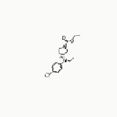 CCOC(=O)N1CC[C@@H](N(CC)c2ccc(Cl)cc2)C1